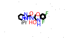 CC(C)[C@H]1CCCc2nc(C(=O)N[C@H]3COc4cc(F)cc(F)c4NC3O)nn21